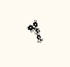 O=C(O)N1CCC(Nc2ncnc3c2nc(-c2ccccc2Cl)n3-c2ccc(Cl)cc2)CC1